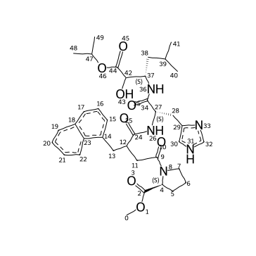 COC(=O)[C@@H]1CCCN1C(=O)CC(Cc1cccc2ccccc12)C(=O)N[C@@H](Cc1c[nH]cn1)C(=O)N[C@@H](CC(C)C)C(O)C(=O)OC(C)C